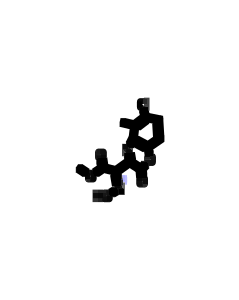 COC(=O)/C(=N\O)c1nc2c(C)c(Cl)ccc2oc1=O